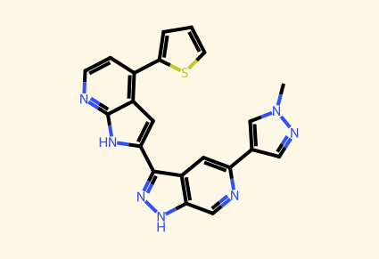 Cn1cc(-c2cc3c(-c4cc5c(-c6cccs6)ccnc5[nH]4)n[nH]c3cn2)cn1